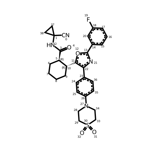 N#CC1(NC(=O)[C@@H]2CCCC[C@H]2c2oc(-c3cccc(F)c3)nc2-c2ccc(N3CCS(=O)(=O)CC3)cc2)CC1